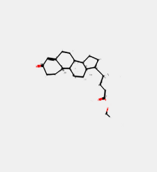 CCOC(=O)CC[C@@H](C)C1CCC2C3CCC4=CC(=O)CC[C@]4(C)C3CC[C@@]21C